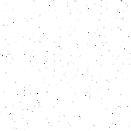 Cc1cc(F)ccc1[C@@H](C)n1nnc2c1CCN(c1cn[nH]c(=O)c1Cl)[C@H]2C